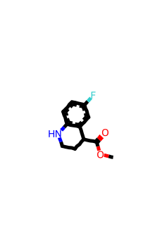 COC(=O)C1CCNc2ccc(F)cc21